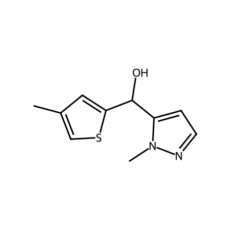 Cc1csc(C(O)c2ccnn2C)c1